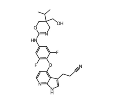 CC(C)C1(CO)CN=C(Nc2cc(F)c(Oc3ccnc4[nH]cc(CCC#N)c34)c(F)c2)OC1